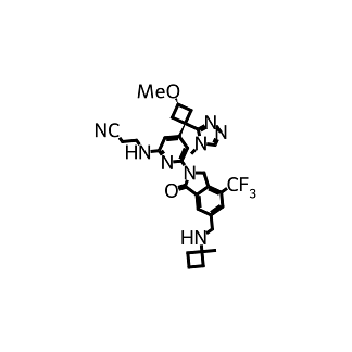 CO[C@H]1C[C@@](c2cc(NCCC#N)nc(N3Cc4c(cc(CNC5(C)CCC5)cc4C(F)(F)F)C3=O)c2)(c2nncn2C)C1